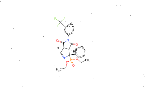 CCOP(=O)(OCC)[C@]1(c2ccccc2)N=C[C@H]2C(=O)N(c3cccc(C(F)(F)F)c3)C(=O)[C@H]21